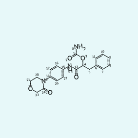 NC(=O)OC(Cc1ccccc1)C(=O)Nc1ccc(N2CCOCC2=O)cc1